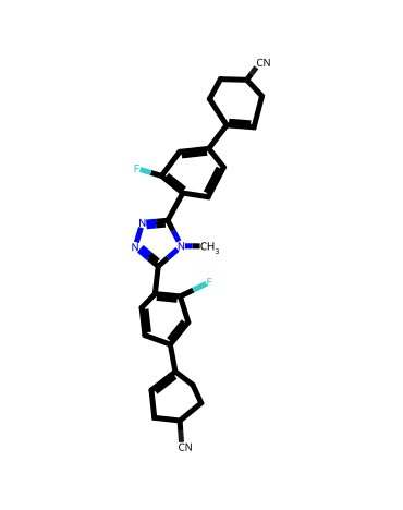 Cn1c(-c2ccc(C3=CCC(C#N)CC3)cc2F)nnc1-c1ccc(C2=CCC(C#N)CC2)cc1F